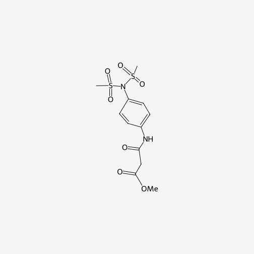 COC(=O)CC(=O)Nc1ccc(N(S(C)(=O)=O)S(C)(=O)=O)cc1